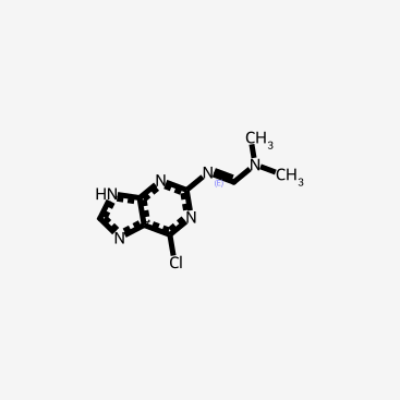 CN(C)/C=N/c1nc(Cl)c2nc[nH]c2n1